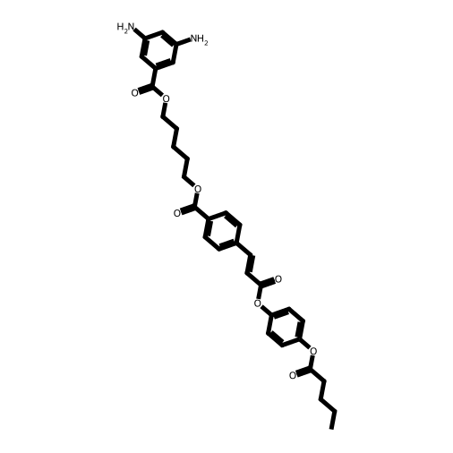 CCCCC(=O)Oc1ccc(OC(=O)/C=C/c2ccc(C(=O)OCCCCCOC(=O)c3cc(N)cc(N)c3)cc2)cc1